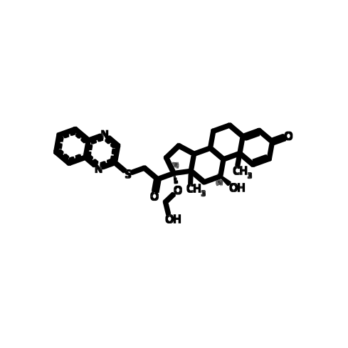 CC12C=CC(=O)C=C1CCC1C2[C@@H](O)CC2(C)C1CC[C@]2(OCO)C(=O)CSc1cnc2ccccc2n1